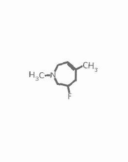 CC1=CCN(C)CC(F)C1